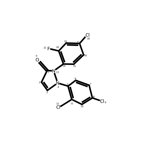 O=c1ccn(-c2ccc(Cl)cc2Cl)n1-c1ccc(Cl)cc1F